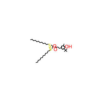 CCCCCCCCCCCCSCC(CSCCCCCCCCCCCC)OC(=O)CCc1cc(C)c(O)c(C(C)(C)C)c1